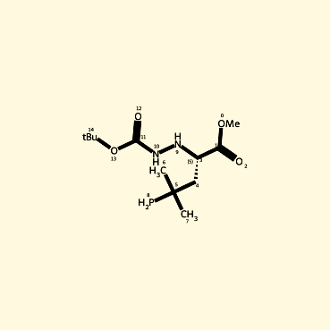 COC(=O)[C@H](CC(C)(C)P)NNC(=O)OC(C)(C)C